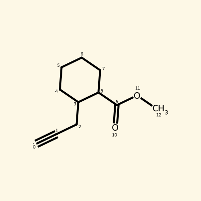 [C]#CCC1CCCCC1C(=O)OC